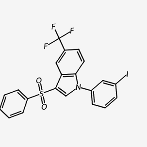 O=S(=O)(c1ccccc1)c1cn(-c2cccc(I)c2)c2ccc(C(F)(F)F)cc12